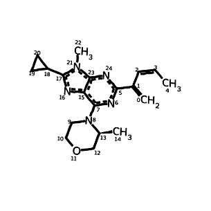 C=C(/C=C\C)c1nc(N2CCOC[C@@H]2C)c2nc(C3CC3)n(C)c2n1